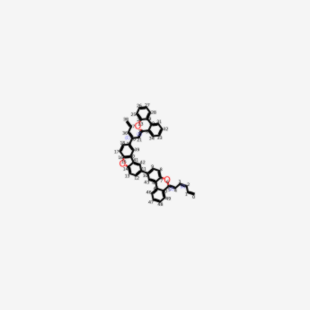 C=C/C=C\C=C1/Oc2ccc(-c3ccc4oc5ccc(C(/C=C6\Oc7ccccc7-c7ccccc76)=C/C=C)cc5c4c3)cc2-c2ccccc21